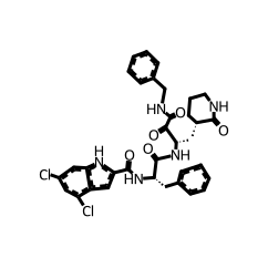 O=C(NCc1ccccc1)C(=O)[C@H](C[C@@H]1CCCNC1=O)NC(=O)[C@H](Cc1ccccc1)NC(=O)c1cc2c(Cl)cc(Cl)cc2[nH]1